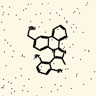 Cc1nc2c3ccccc3c3cc(CC(C)(C)C)ccc3n2c1-c1c(C(C)C)cccc1C(C)C